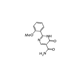 COc1ccccc1-c1ncc(C(N)=O)c(=O)[nH]1